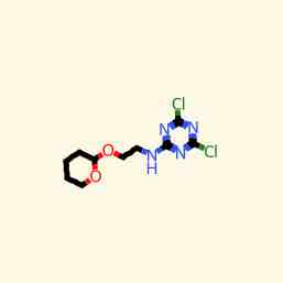 Clc1nc(Cl)nc(NCCOC2CCCCO2)n1